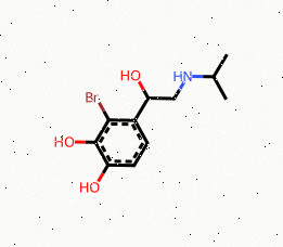 CC(C)NCC(O)c1ccc(O)c(O)c1Br